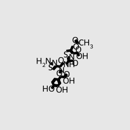 CC(=O)OCC1=C(C(=O)O)N2C(=O)C(NC(=O)C(=NOC(C(=O)O)c3ccc(O)c(O)c3)c3csc(N)n3)C2SC1